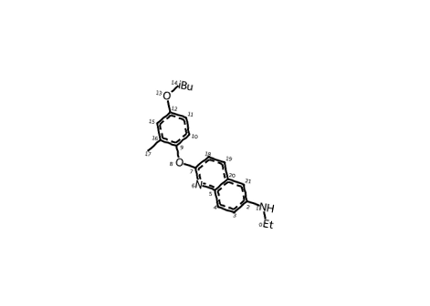 CCNc1ccc2nc(Oc3ccc(OC(C)CC)cc3C)ccc2c1